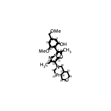 COCc1cc(O)c(-c2c(C)oc3c(N(CC(C)C)CC4CCOCC4)c(C)nn23)c(OC)c1